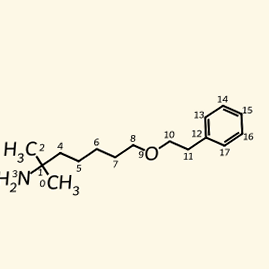 CC(C)(N)CCCCCOCCc1ccccc1